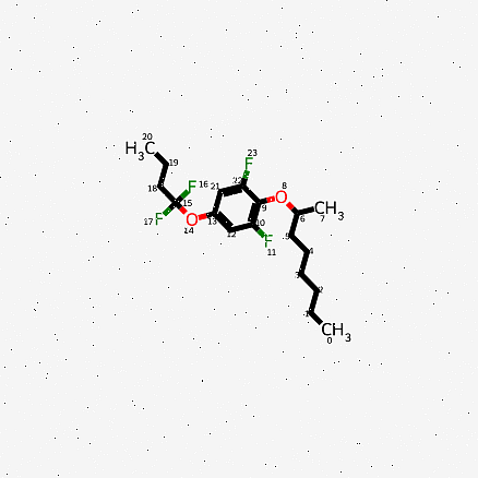 CCCCCCC(C)Oc1c(F)cc(OC(F)(F)CCC)cc1F